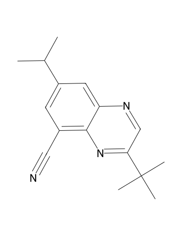 CC(C)c1cc(C#N)c2nc(C(C)(C)C)cnc2c1